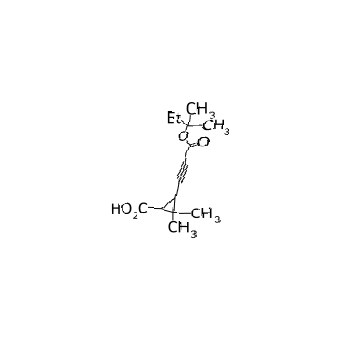 CCC(C)(C)OC(=O)C#CC1C(C(=O)O)C1(C)C